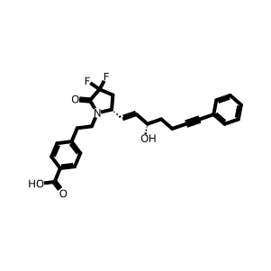 O=C(O)c1ccc(CCN2C(=O)C(F)(F)C[C@@H]2C=C[C@@H](O)CCC#Cc2ccccc2)cc1